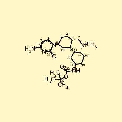 CN(C[C@H]1CC[C@H](n2ccc(N)nc2=O)CC1)[C@H]1CC[C@H](NC(=O)OC(C)(C)C)CC1